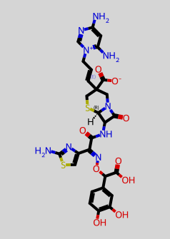 Nc1cc(N)[n+](C/C=C/C2(C(=O)[O-])CS[C@@H]3C(NC(=O)C(=NOC(C(=O)O)c4ccc(O)c(O)c4)c4csc(N)n4)C(=O)N3C2)cn1